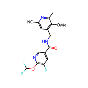 COc1c(CNC(=O)c2cnc(OC(F)F)c(F)c2)cc(C#N)nc1C